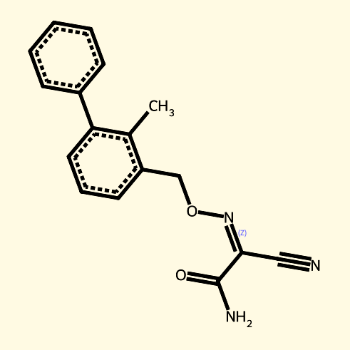 Cc1c(CO/N=C(/C#N)C(N)=O)cccc1-c1ccccc1